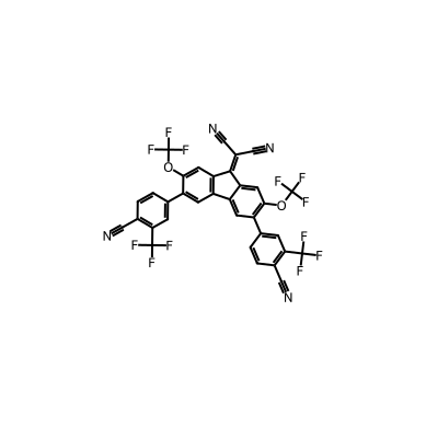 N#CC(C#N)=C1c2cc(OC(F)(F)F)c(-c3ccc(C#N)c(C(F)(F)F)c3)cc2-c2cc(-c3ccc(C#N)c(C(F)(F)F)c3)c(OC(F)(F)F)cc21